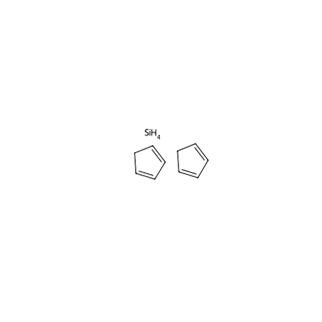 C1=CCC=C1.C1=CCC=C1.[SiH4]